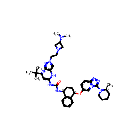 C[C@H]1CCCCN1c1nnc2ccc(O[C@@H]3CC[C@H](NC(=O)N/C(=C/C(=N)C(C)(C)C)Nc4cnn(CCN5CC(N(C)C)C5)c4)c4ccccc43)cn12